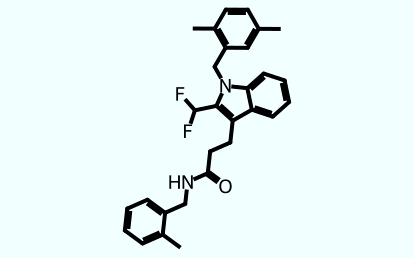 Cc1ccc(C)c(Cn2c(C(F)F)c(CCC(=O)NCc3ccccc3C)c3ccccc32)c1